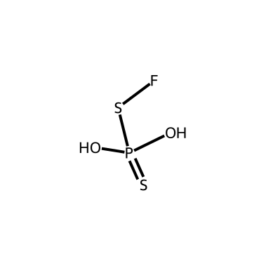 OP(O)(=S)SF